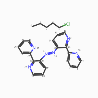 CCCCCCl.c1ccc(-c2ncccc2N=Nc2cccnc2-c2ccccn2)nc1